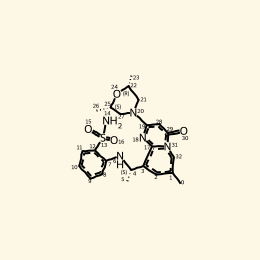 Cc1cc([C@H](C)Nc2ccccc2S(N)(=O)=O)c2nc(N3C[C@@H](C)O[C@@H](C)C3)cc(=O)n2c1